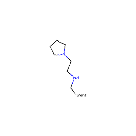 [CH2]CCCCCNCCN1CCCC1